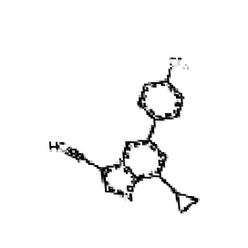 C#Cc1cnc2c(C3CC3)cc(-c3ccc(C(F)(F)F)cc3)cn12